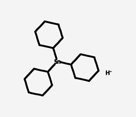 C1CC[CH]([Sn]([CH]2CCCCC2)[CH]2CCCCC2)CC1.[H-]